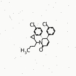 CCCC(C1CC1)N1C(=O)C=C[C@H](c2cccc(Cl)c2)[C@H]1c1ccc(Cl)cc1